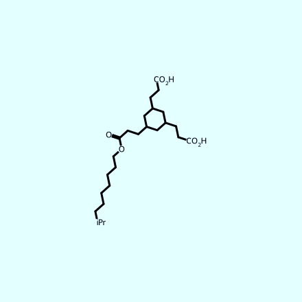 CC(C)CCCCCCCOC(=O)CCC1CC(CCC(=O)O)CC(CCC(=O)O)C1